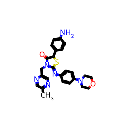 Cc1cnc(CN2C(=O)C(c3ccc(N)cc3)S/C2=N\c2ccc(N3CCOCC3)cc2)cn1